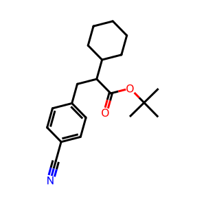 CC(C)(C)OC(=O)C(Cc1ccc(C#N)cc1)C1CCCCC1